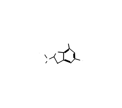 CN(C(=O)O)C1Cc2cc(O)cc(Cl)c2O1